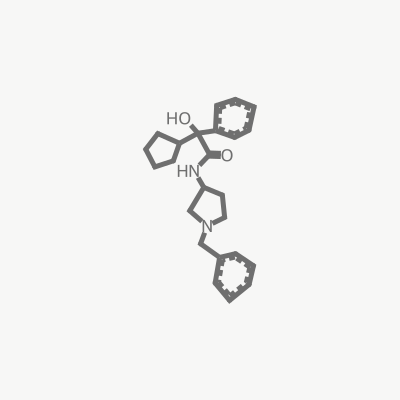 O=C(NC1CCN(Cc2ccccc2)C1)C(O)(c1ccccc1)C1CCCC1